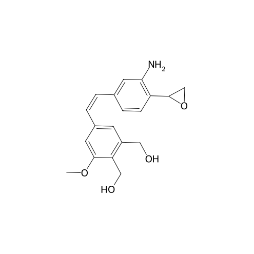 COc1cc(/C=C\c2ccc(C3CO3)c(N)c2)cc(CO)c1CO